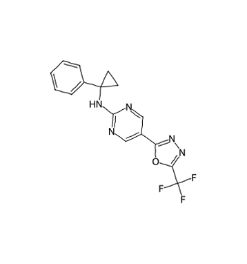 FC(F)(F)c1nnc(-c2cnc(NC3(c4ccccc4)CC3)nc2)o1